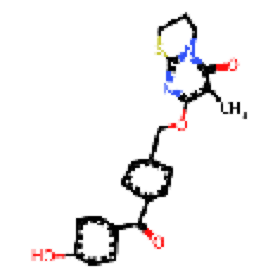 Cc1c(OCc2ccc(C(=O)c3ccc(O)cc3)cc2)nc2n(c1=O)CCCS2